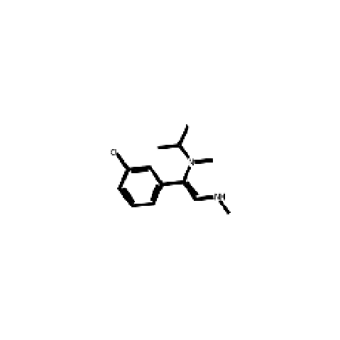 CN/C=C(/c1cccc(Cl)c1)N(C)C(C)C